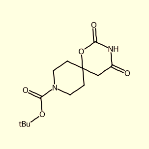 CC(C)(C)OC(=O)N1CCC2(CC1)CC(=O)NC(=O)O2